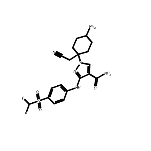 N#CCC1(n2cc(C(N)=O)c(Nc3ccc(S(=O)(=O)C(F)F)cc3)n2)CCC(N)CC1